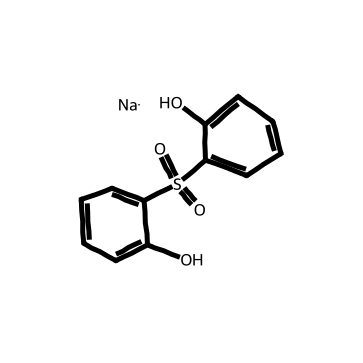 O=S(=O)(c1ccccc1O)c1ccccc1O.[Na]